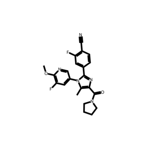 COc1ncc(-n2c(-c3ccc(C#N)c(F)c3)nc(C(=O)N3CCCC3)c2C)cc1F